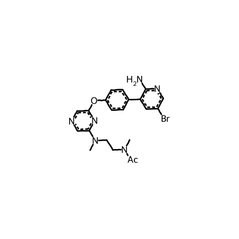 CC(=O)N(C)CCN(C)c1cncc(Oc2ccc(-c3cc(Br)cnc3N)cc2)n1